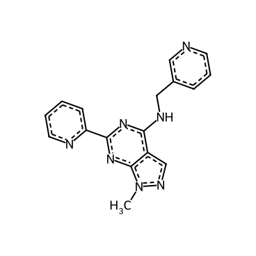 Cn1ncc2c(NCc3cccnc3)nc(-c3ccccn3)nc21